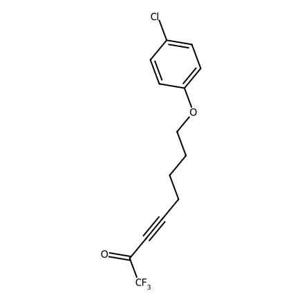 O=C(C#CCCCCOc1ccc(Cl)cc1)C(F)(F)F